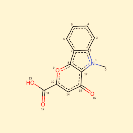 Cn1c2ccccc2c2oc(C(=O)O)cc(=O)c21